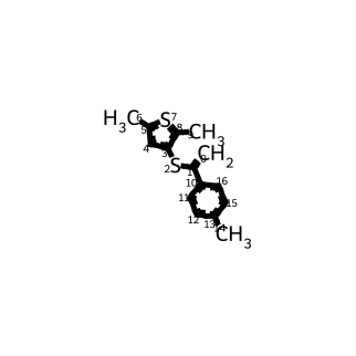 C=C(Sc1cc(C)sc1C)c1ccc(C)cc1